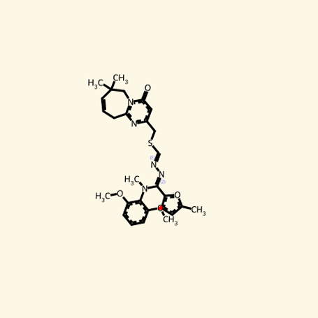 COc1cccc(OC)c1N(C)/C(=N\N=C\SCc1cc(=O)n2c(n1)CC=CC(C)(C)C2)c1ccc(C)o1